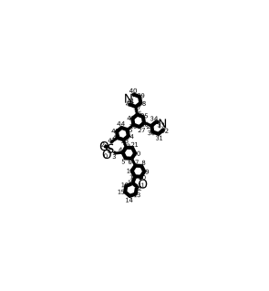 O=S1(=O)Cc2cc(-c3ccc4oc5ccccc5c4c3)ccc2-c2cc(-c3cc(-c4cccnc4)cc(-c4cccnc4)c3)ccc2C1